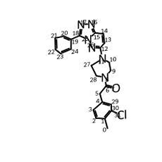 Cc1ccc(CC(=O)N2CCN(c3ccc4nnc(-c5ccccc5)n4n3)CC2)cc1Cl